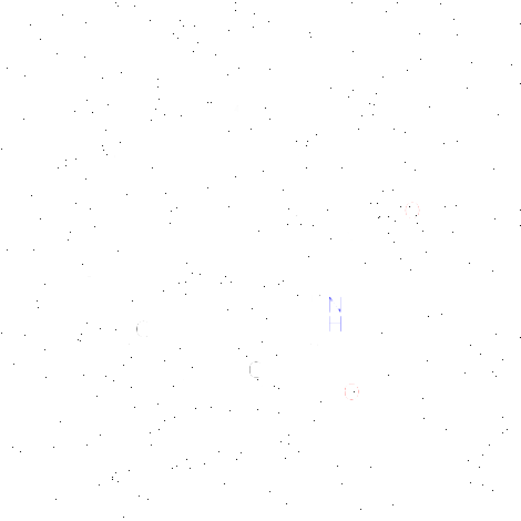 O=C1/C=C/CCCCCCCCC(=O)N1